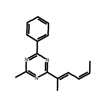 C/C=C\C=C(/C)c1nc(C)nc(-c2ccccc2)n1